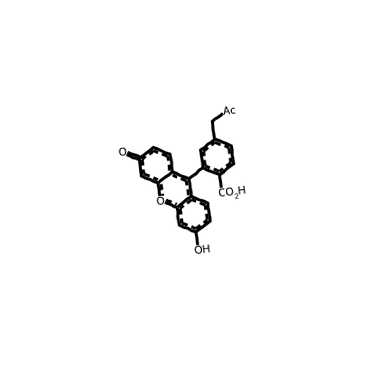 CC(=O)Cc1ccc(C(=O)O)c(-c2c3ccc(=O)cc-3oc3cc(O)ccc23)c1